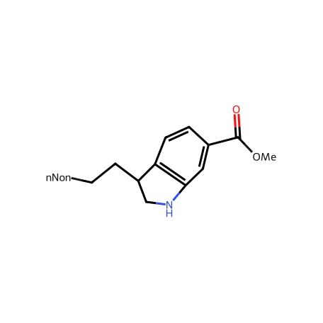 CCCCCCCCCCCC1CNc2cc(C(=O)OC)ccc21